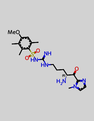 COc1cc(C)c(S(=O)(=O)NC(=N)NCCC[C@@H](N)C(=O)c2nccn2C)c(C)c1C